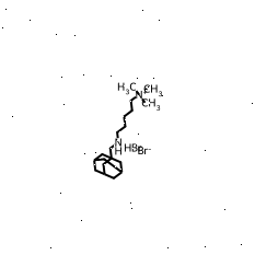 Br.C[N+](C)(C)CCCCCNCC12CC3CC(CC(C3)C1)C2.[Br-]